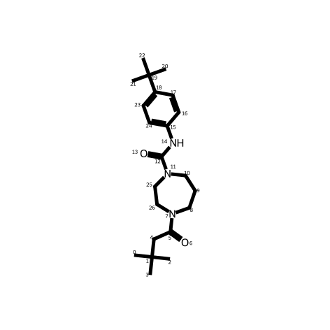 CC(C)(C)CC(=O)N1CCCN(C(=O)Nc2ccc(C(C)(C)C)cc2)CC1